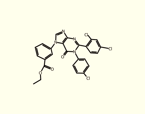 CCOC(=O)c1cccc(-n2cnc3nc(-c4ccc(Cl)cc4Cl)n(-c4ccc(Cl)cc4)c(=O)c32)c1